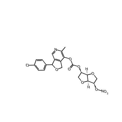 Cc1ncc2c(c1OC(=O)O[C@@H]1CO[C@H]3[C@@H]1OC[C@H]3O[N+](=O)[O-])COC2c1ccc(Cl)cc1